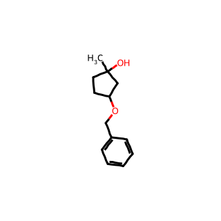 CC1(O)CCC(OCc2ccccc2)C1